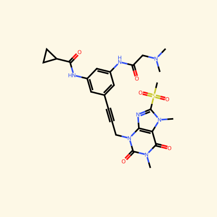 CN(C)CC(=O)Nc1cc(C#CCn2c(=O)n(C)c(=O)c3c2nc(S(C)(=O)=O)n3C)cc(NC(=O)C2CC2)c1